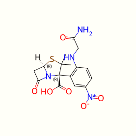 CC1(C)S[C@@H]2CC(=O)N2[C@@]1(C(=O)O)c1cc([N+](=O)[O-])ccc1NCC(N)=O